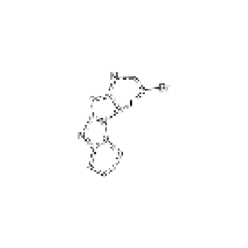 Brc1cnc2sc3nc4ccccc4n3c2c1